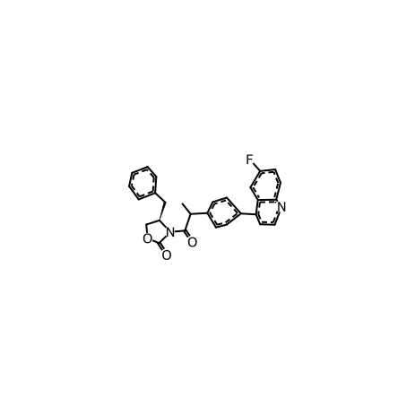 CC(C(=O)N1C(=O)OC[C@H]1Cc1ccccc1)c1ccc(-c2ccnc3ccc(F)cc23)cc1